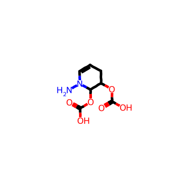 NN1C=CCC(OC(=O)O)C1OC(=O)O